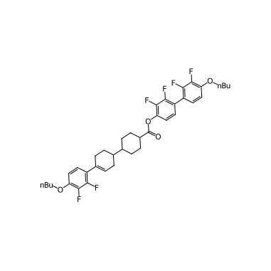 CCCCOc1ccc(C2=CCC(C3CCC(C(=O)Oc4ccc(-c5ccc(OCCCC)c(F)c5F)c(F)c4F)CC3)CC2)c(F)c1F